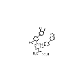 CN(CC(=O)O)C(=O)C(Cc1ccc(-c2cccc(C(F)(F)F)c2)cc1)NC(=O)c1cc(-c2ccc(F)c(Cl)c2)ccc1O